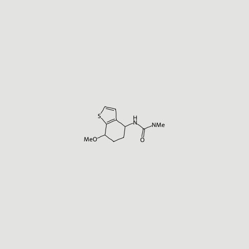 CNC(=O)NC1CCC(OC)c2sccc21